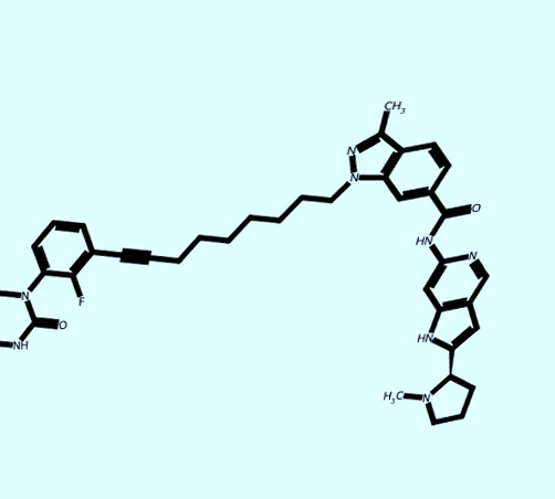 Cc1nn(CCCCCCCC#Cc2cccc(N3CCC(=O)NC3=O)c2F)c2cc(C(=O)Nc3cc4[nH]c([C@H]5CCCN5C)cc4cn3)ccc12